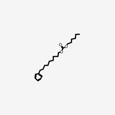 CCCCCCOC(=O)OCCCCCCCCCc1ccccc1